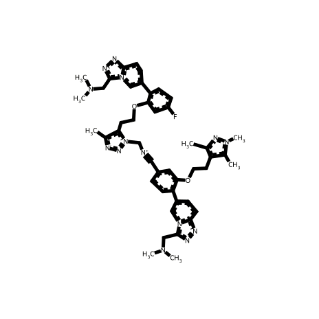 Cc1nn(C)c(C)c1CCOc1cc(C#[N+]Cn2nnc(C)c2CCOc2cc(F)ccc2-c2ccc3nnc(CN(C)C)n3c2)ccc1-c1ccc2nnc(CN(C)C)n2c1